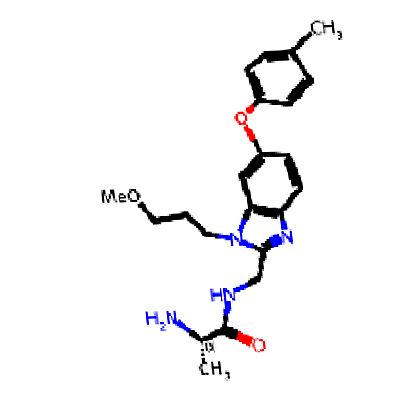 COCCCn1c(CNC(=O)[C@H](C)N)nc2ccc(Oc3ccc(C)cc3)cc21